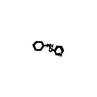 c1cncc(ONC2CCCCC2)c1